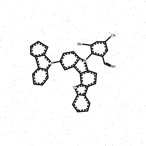 CC(C)(C)c1cc(C#N)cc(C=N)c1-n1c2ccc(-n3c4ccccc4c4ccccc43)cc2c2c3oc4ccccc4c3ccc21